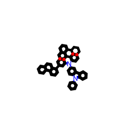 c1ccc(-n2c3ccccc3c3cc(N(c4cccc(-c5cccc6c5ccc5ccccc56)c4)c4ccccc4-c4cccc5cccc(C6CCCCC6)c45)ccc32)cc1